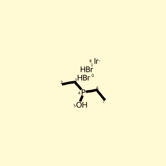 Br.Br.CCP(O)CC.[Ir]